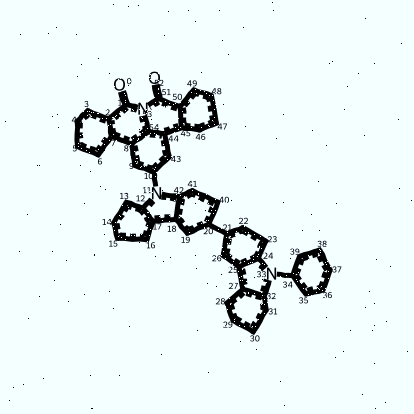 O=c1c2ccccc2c2cc(-n3c4ccccc4c4cc(-c5ccc6c(c5)c5ccccc5n6-c5ccccc5)ccc43)cc3c4ccccc4c(=O)n1c23